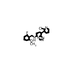 COc1cccc(F)c1CNc1ccc(-c2cccnc2Cl)c2nncn12